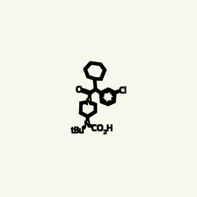 CC(C)(C)N(C(=O)O)C1CCN(C(=O)C(c2cccc(Cl)c2)C2CCCCCC2)CC1